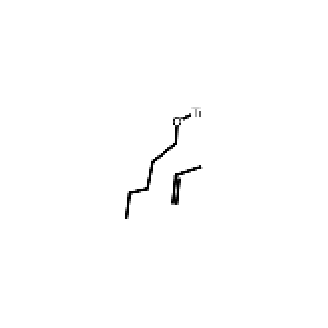 C=CC.CCCCC[O][Ti]